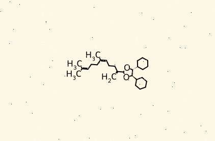 C=C(CCC=C(C)CCC=C(C)C)C1O[C@H](C2CCCCC2)[C@@H](C2CCCCC2)O1